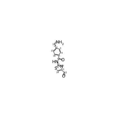 NSc1ccc(C(=O)Nc2nc(C=O)cs2)cc1